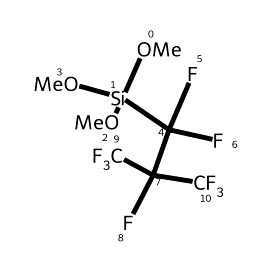 CO[Si](OC)(OC)C(F)(F)C(F)(C(F)(F)F)C(F)(F)F